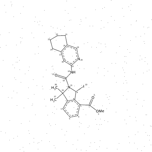 COC(=O)c1cccc2c1C(I)N(C(=O)Nc1cc3c(cn1)CCCC3)C2(C)C